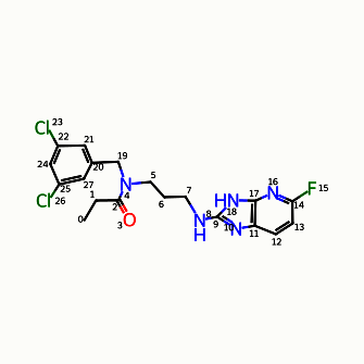 CCC(=O)N(CCCNc1nc2ccc(F)nc2[nH]1)Cc1cc(Cl)cc(Cl)c1